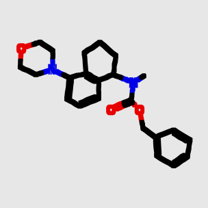 CN(C(=O)OCc1ccccc1)C1CCCc2c1cccc2N1CCOCC1